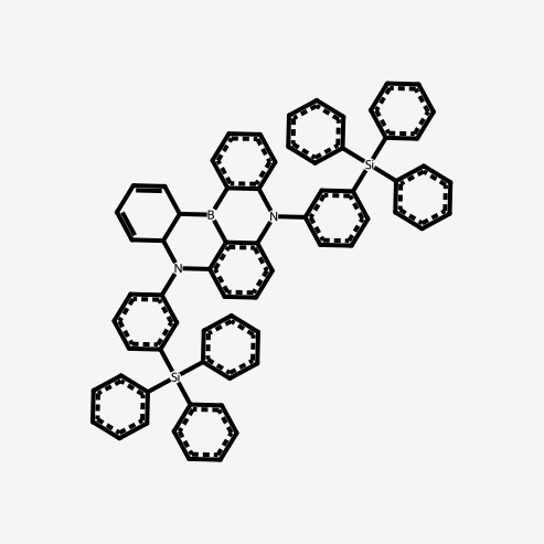 C1=CC2B3c4ccccc4N(c4cccc([Si](c5ccccc5)(c5ccccc5)c5ccccc5)c4)c4cccc(c43)N(c3cccc([Si](c4ccccc4)(c4ccccc4)c4ccccc4)c3)C2C=C1